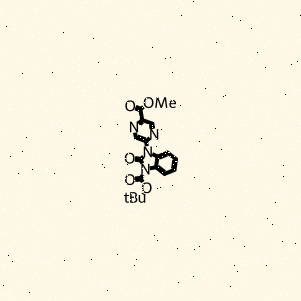 COC(=O)c1cnc(-n2c(=O)n(C(=O)OC(C)(C)C)c3ccccc32)cn1